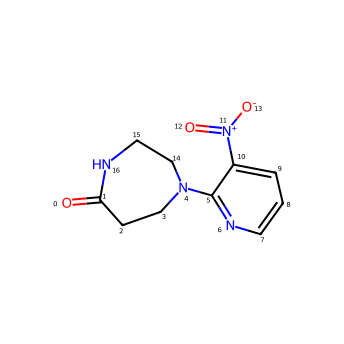 O=C1CCN(c2ncccc2[N+](=O)[O-])CCN1